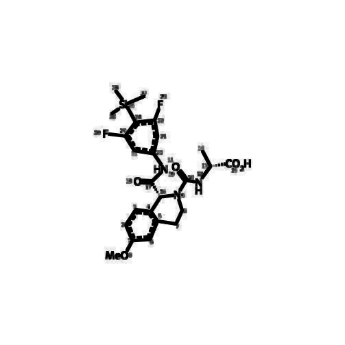 COc1ccc2c(c1)CCN(C(=O)N[C@H](C)C(=O)O)[C@H]2C(=O)Nc1cc(F)c([Si](C)(C)C)c(F)c1